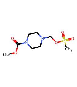 CC(C)(C)OC(=O)N1CCN(COS(C)(=O)=O)CC1